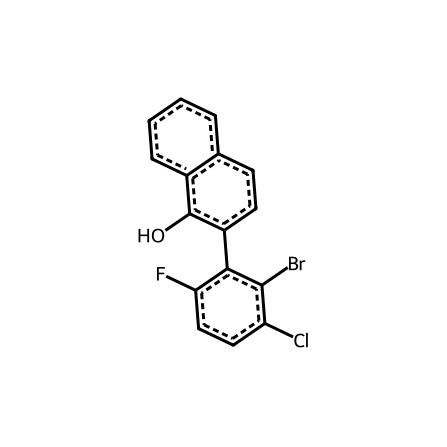 Oc1c(-c2c(F)ccc(Cl)c2Br)ccc2ccccc12